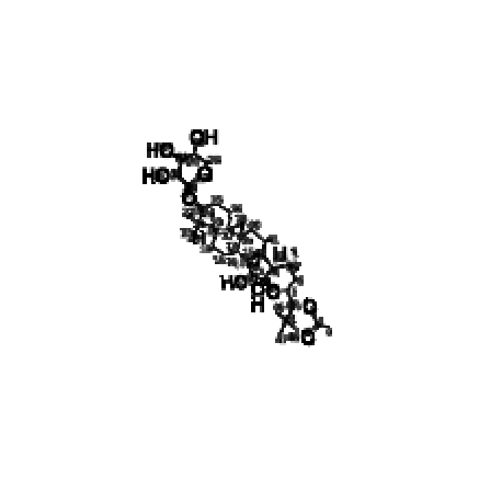 CC(=O)O[C@@H](C1C[C@@H](C)[C@H]2[C@@](O)(O1)[C@H](O)[C@@]1(C)C3CC[C@H]4C(C)(C)[C@@H](O[C@@H]5OCC(O)[C@H](O)[C@H]5O)CCC45C[C@@]35CC[C@]21C)C(C)(C)C